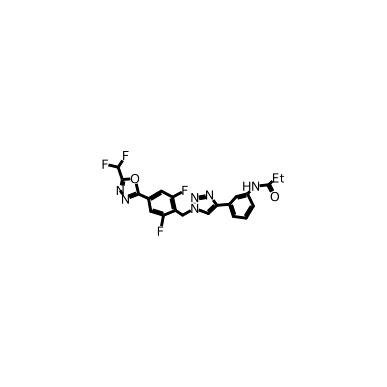 CCC(=O)Nc1cccc(-c2cn(Cc3c(F)cc(-c4nnc(C(F)F)o4)cc3F)nn2)c1